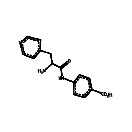 CCOC(=O)c1ccc(NC(=O)C(N)Cc2ccncc2)cc1